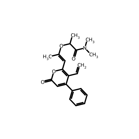 C=Cc1c(-c2ccccc2)cc(=O)oc1/C=C(\C)OC(C)C(=O)N(C)C